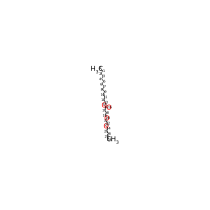 CCCCCCCCCCCCCCOC(=O)CCCOCCOCCCCC